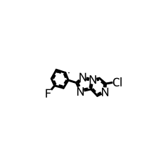 Fc1cc[c]c(-c2nc3cnc(Cl)cn3n2)c1